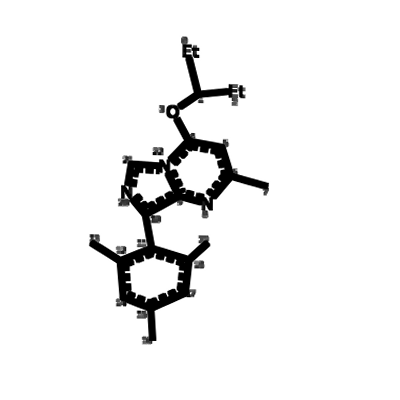 CCC(CC)Oc1cc(C)nc2c(-c3c(C)cc(C)cc3C)ncn12